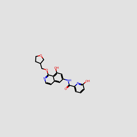 O=C(Nc1cc(O)c2c(OCC3CCOC3)nccc2c1)c1cccc(O)n1